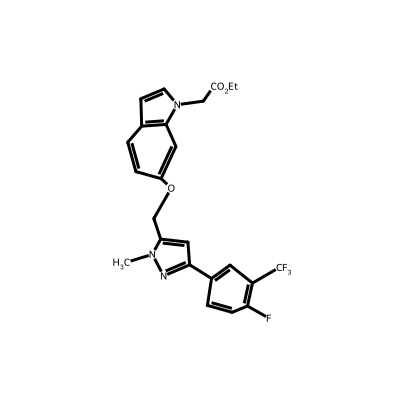 CCOC(=O)Cn1ccc2ccc(OCc3cc(-c4ccc(F)c(C(F)(F)F)c4)nn3C)cc21